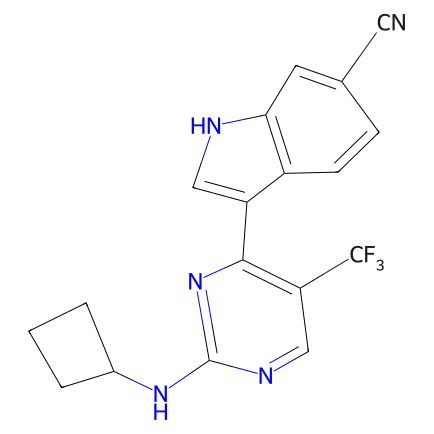 N#Cc1ccc2c(-c3nc(NC4CCC4)ncc3C(F)(F)F)c[nH]c2c1